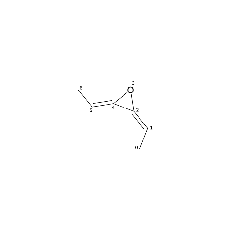 CC=C1OC1=CC